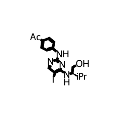 CC(=O)c1ccc(Nc2ncc(I)c(N[C@@H](CO)C(C)C)n2)cc1